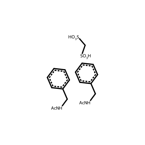 CC(=O)NCc1ccccc1.CC(=O)NCc1ccccc1.O=S(=O)(O)CS(=O)(=O)O